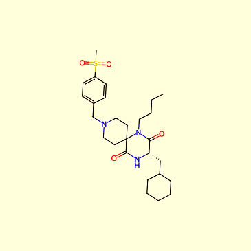 CCCCN1C(=O)[C@H](CC2CCCCC2)NC(=O)C12CCN(Cc1ccc(S(C)(=O)=O)cc1)CC2